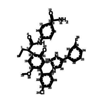 CC[C@@H](C(=O)Nc1ccc(C(N)=O)cc1)n1cc(OC)c(-c2cc(Cl)ccc2-n2cc(-c3cccc(F)c3)nn2)cc1=O